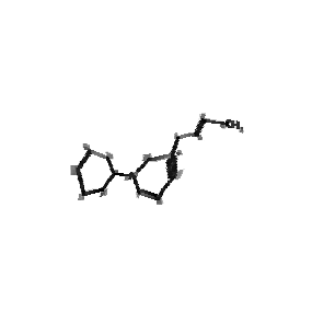 CCCCC1=CC=CN(C2CCCCC2)C1